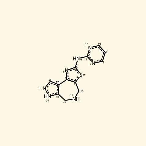 c1cnc(Nc2nc3c(s2)CNCc2[nH]ncc2-3)nc1